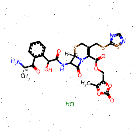 Cc1oc(=O)oc1COC(=O)C1=C(CSc2ncns2)CS[C@H]2C(NC(=O)C(O)c3ccccc3C(=O)[C@H](C)N)C(=O)N12.Cl